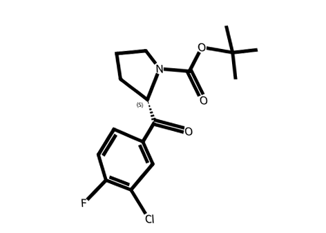 CC(C)(C)OC(=O)N1CCC[C@H]1C(=O)c1ccc(F)c(Cl)c1